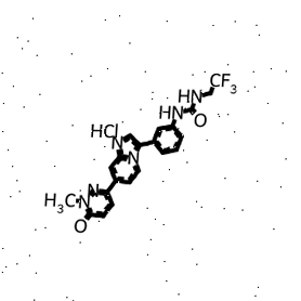 Cl.Cn1nc(-c2ccn3c(-c4cccc(NC(=O)NCC(F)(F)F)c4)cnc3c2)ccc1=O